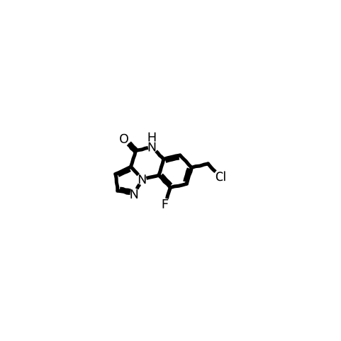 O=c1[nH]c2cc(CCl)cc(F)c2n2nccc12